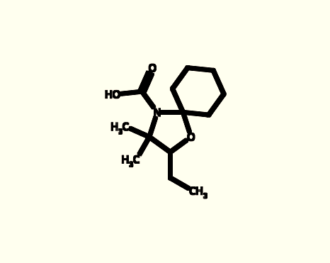 CCC1OC2(CCCCC2)N(C(=O)O)C1(C)C